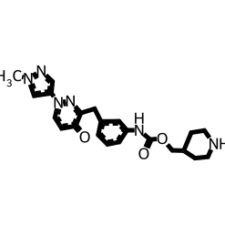 Cn1cc(-n2ccc(=O)c(Cc3cccc(NC(=O)OCC4CCNCC4)c3)n2)cn1